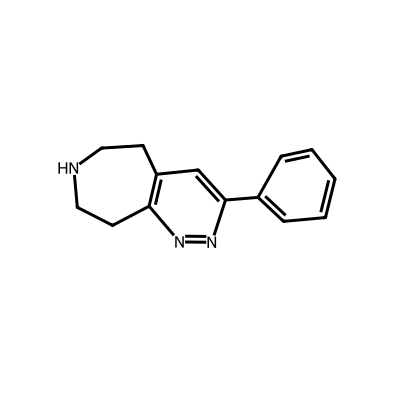 c1ccc(-c2cc3c(nn2)CCNCC3)cc1